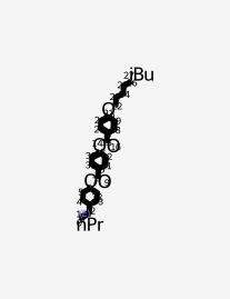 CCC/C=C/C1CCC(OC(=O)c2ccc(OC(=O)c3ccc(OCCCCCC(C)CC)cc3)cc2)CC1